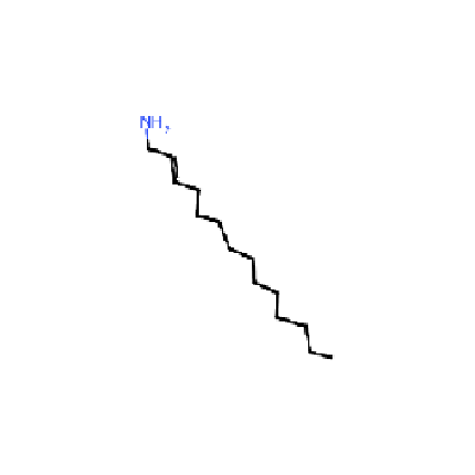 CCCCCCCCCCCC=CCN